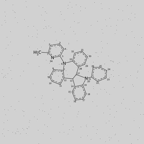 Cc1cccc(N2c3ccccc3C3c4ccccc4N(c4ccccc4)C3c3ccccc32)n1